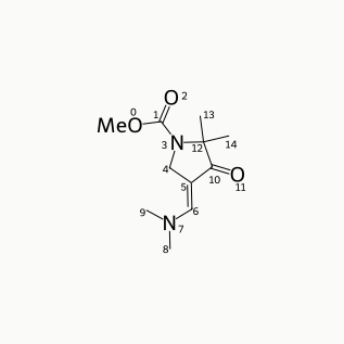 COC(=O)N1C/C(=C\N(C)C)C(=O)C1(C)C